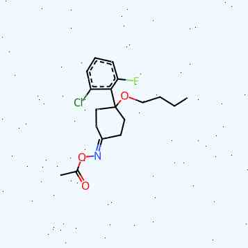 CCCCOC1(c2c(F)cccc2Cl)CCC(=NOC(C)=O)CC1